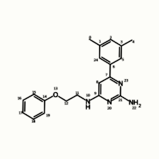 Cc1cc(C)cc(-c2cc(NCCOc3ccccc3)nc(N)n2)c1